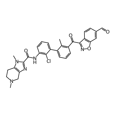 Cc1c(C(=O)c2noc3cc(C=O)ccc23)cccc1-c1cccc(NC(=O)c2nc3c(n2C)CCN(C)C3)c1Cl